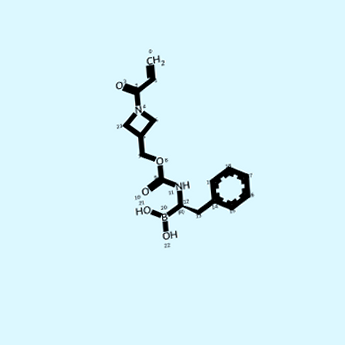 C=CC(=O)N1CC(COC(=O)N[C@@H](Cc2ccccc2)B(O)O)C1